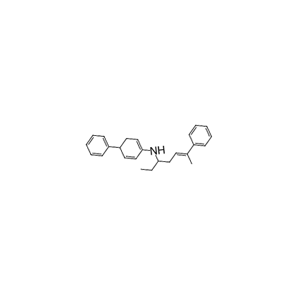 CCC(C/C=C(\C)c1ccccc1)NC1=CCC(c2ccccc2)C=C1